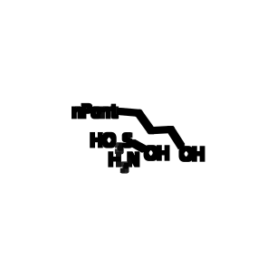 CCCCCCCCO.N.O=S(=O)(O)O